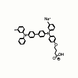 Cc1cccc(N(c2ccccc2)c2ccc(-c3ccc(N(c4ccc(OCCCP(=O)([O-])O)cc4)c4cccc(C)c4)cc3)cc2)c1.[Na+]